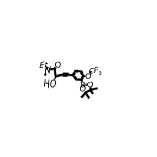 CCN(C)C(=O)[C@H](O)C#Cc1ccc(OC(F)(F)F)c(B2OC(C)(C)C(C)(C)O2)c1